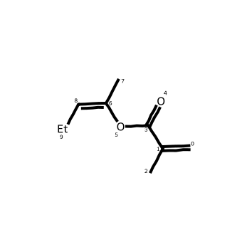 C=C(C)C(=O)OC(C)=CCC